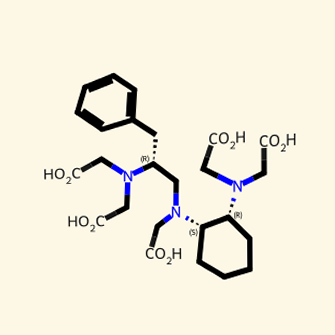 O=C(O)CN(CC(=O)O)[C@H](Cc1ccccc1)CN(CC(=O)O)[C@H]1CCCC[C@H]1N(CC(=O)O)CC(=O)O